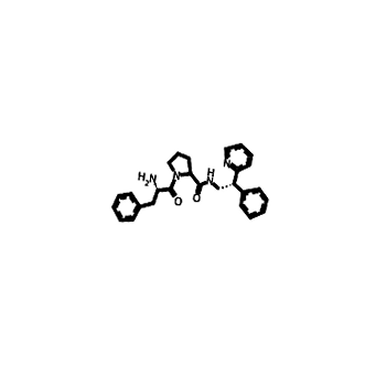 N[C@@H](Cc1ccccc1)C(=O)N1CCCC1C(=O)NC[C@@H](c1ccccc1)c1ccccn1